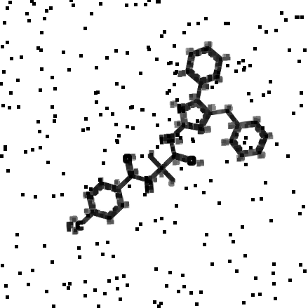 CC(C)(NC(=O)c1ccc(C(F)(F)F)cc1)C(=O)Nc1nc(-c2ccccc2)c(Cc2ccccc2)s1